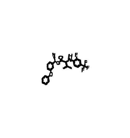 CC(C)C(Nc1ccc(C(F)(F)F)cc1F)C(=O)OC(C#N)c1cccc(Oc2ccccc2)c1